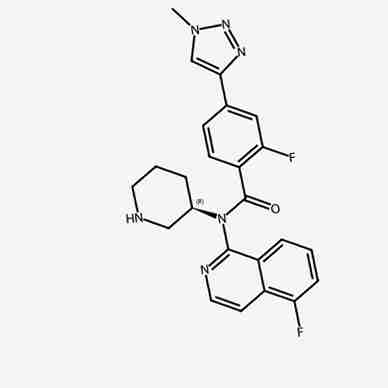 Cn1cc(-c2ccc(C(=O)N(c3nccc4c(F)cccc34)[C@@H]3CCCNC3)c(F)c2)nn1